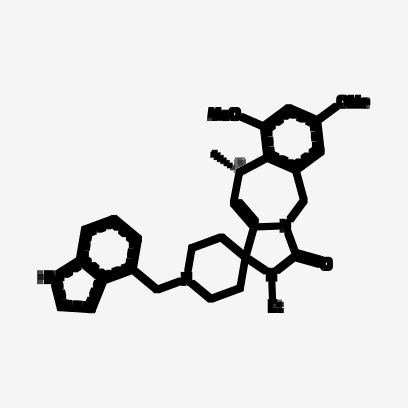 CCN1C(=O)N2Cc3cc(OC)cc(OC)c3[C@@H](C)C=C2C12CCN(Cc1cccc3[nH]ccc13)CC2